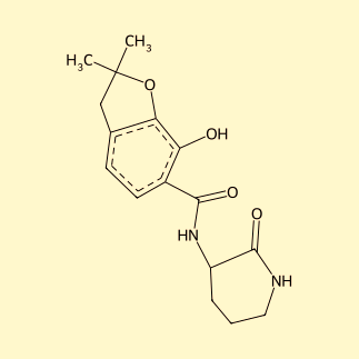 CC1(C)Cc2ccc(C(=O)NC3CCCNC3=O)c(O)c2O1